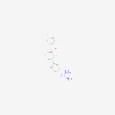 O=C(c1ccccc1)c1cccc(-c2cccc(Cn3cncn3)c2)c1